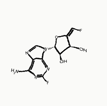 Nc1nc(F)nc2c1ncn2[C@@H]1O/C(=C/F)[C@@H](O)[C@H]1O